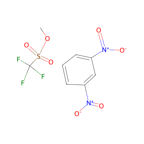 COS(=O)(=O)C(F)(F)F.O=[N+]([O-])c1cccc([N+](=O)[O-])c1